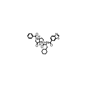 O=C(N[C@@H](CC1CCCCC1)C(=O)N1CC[C@@H]2[C@H]1C(=O)CN2C(=O)c1ccccc1)c1ccc2ncsc2c1